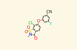 CN1C(=O)c2ccc(Oc3cc(F)cc(C#N)c3)c(Cl)c2S1(=O)=O